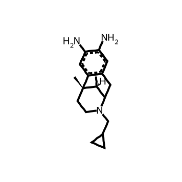 C[C@H]1C2Cc3cc(N)c(N)cc3[C@@]1(C)CCN2CC1CC1